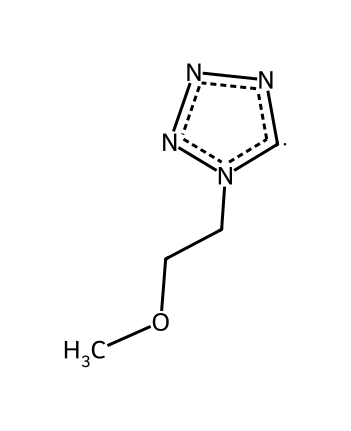 COCCn1[c]nnn1